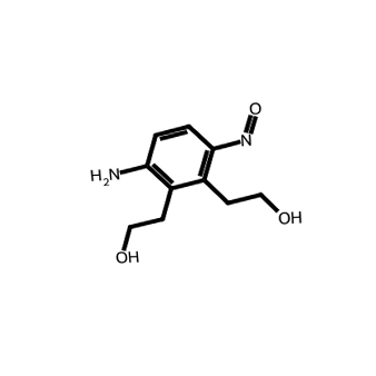 Nc1ccc(N=O)c(CCO)c1CCO